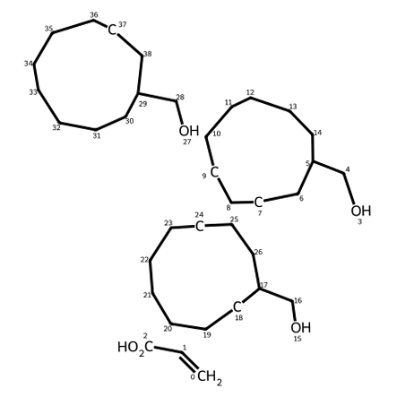 C=CC(=O)O.OCC1CCCCCCCCC1.OCC1CCCCCCCCC1.OCC1CCCCCCCCC1